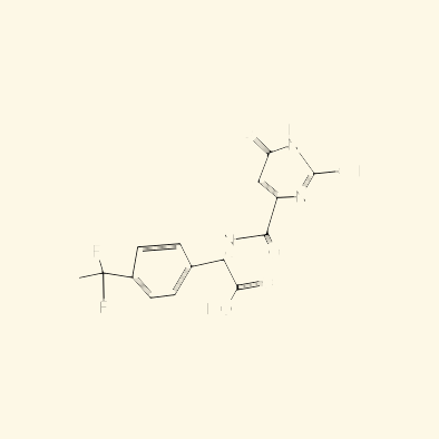 Cc1nc(C(=O)N[C@H](C(=O)O)c2ccc(C(F)(F)F)cc2)cc(=O)[nH]1